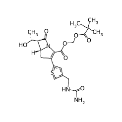 C[C@@H](O)[C@H]1C(=O)N2C(C(=O)OCOC(=O)C(C)(C)C)=C(c3cc(CNC(N)=O)cs3)C[C@H]12